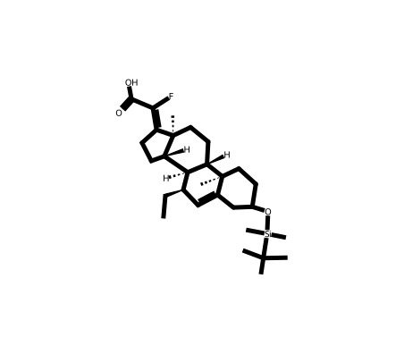 CC[C@@H]1C=C2CC(O[Si](C)(C)C(C)(C)C)CC[C@]2(C)[C@H]2CC[C@]3(C)/C(=C(\F)C(=O)O)CC[C@H]3[C@H]12